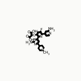 CN1CCC(c2cc(-c3nc(-c4ccnc(N)c4)c(F)cc3O)nc(N)n2)CC1.O=C(O)CC(=O)O